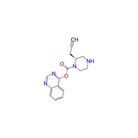 C#CC[C@H]1CNCCN1C(=O)Oc1ncnc2ccccc12